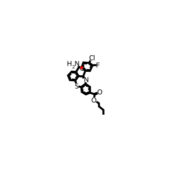 CCCCOC(=O)c1ccc2c(c1)N=C(c1ccc(Cl)c(F)c1)c1c(cccc1C(N)=O)S2